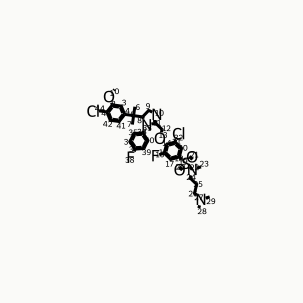 COc1cc(C(C)(C)C2CN=C(COc3c(F)cc(S(=O)(=O)N(C)CCCN(C)C)cc3Cl)N2c2ccc(F)cc2)ccc1Cl